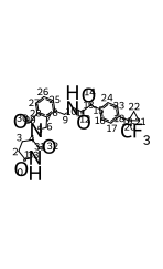 O=C1CCC(N2Cc3c(CNC(=O)C(=O)c4ccc(C5(C(F)(F)F)CC5)cc4)cccc3C2=O)C(=O)N1